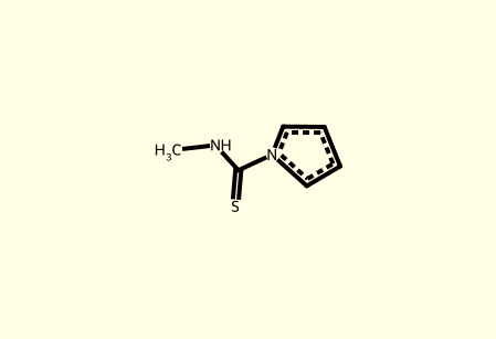 CNC(=S)n1cccc1